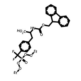 CCOOP(=O)(OOCC)C(F)(F)c1ccc(CC(NC(=O)OCC2c3ccccc3-c3ccccc32)C(=O)O)cc1